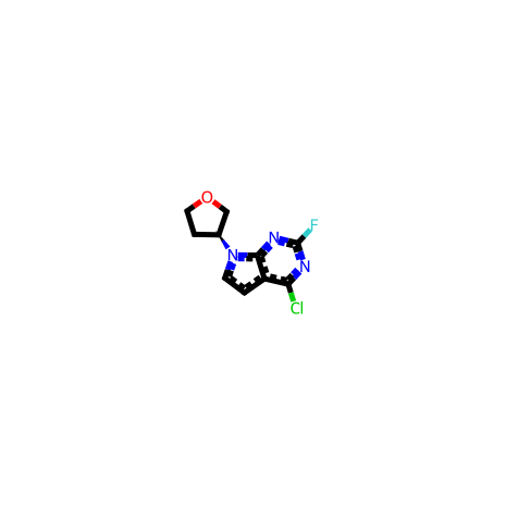 Fc1nc(Cl)c2ccn([C@H]3CCOC3)c2n1